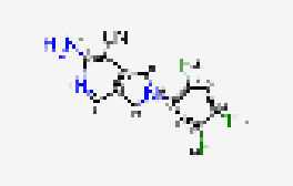 N#Cc1c(N)ncc2c1CN(c1cc(F)c(F)cc1F)C2